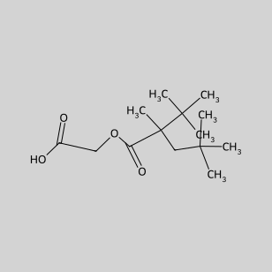 CC(C)(C)CC(C)(C(=O)OCC(=O)O)C(C)(C)C